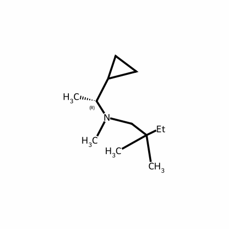 CCC(C)(C)CN(C)[C@H](C)C1CC1